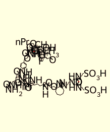 CCCC1O[C@@H]2C[C@H]3[C@@H]4C[C@H](F)C5=CC(=O)C=C[C@]5(C)[C@@]4(F)[C@@H](O)C[C@]3(C)[C@]2(C(=O)CNC(=O)OCc2ccc(NC(=O)[C@H](CCCNC(N)=O)NC(=O)[C@@H](NC(=O)[C@H](N)CCCCNC(=O)COC3CCCCCc4c3nnn4CCN(CC(=O)NCCS(=O)(=O)O)CC(=O)NCCS(=O)(=O)O)C(C)C)cc2)O1